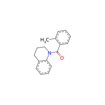 Cc1ccccc1C(=O)N1CCCc2ccccc21